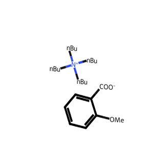 CCCC[N+](CCCC)(CCCC)CCCC.COc1ccccc1C(=O)[O-]